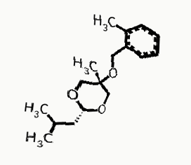 Cc1ccccc1CO[C@]1(C)CO[C@H](CC(C)C)OC1